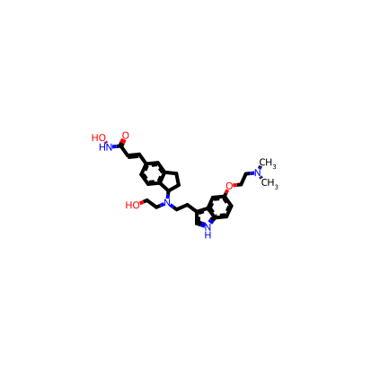 CN(C)CCOc1ccc2[nH]cc(CCN(CCO)C3CCc4cc(/C=C/C(=O)NO)ccc43)c2c1